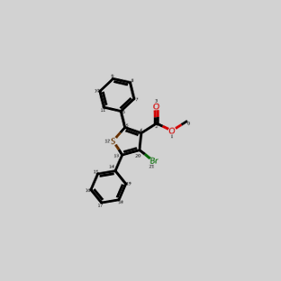 COC(=O)c1c(-c2ccccc2)sc(-c2ccccc2)c1Br